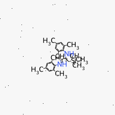 Cc1cc(C)c(NCC(C[Si](C)(C)C)Nc2c(C)cc(C)cc2C)c(C)c1